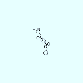 NCCCC(=O)N1CCN(C(=O)OCc2ccccc2)CC1